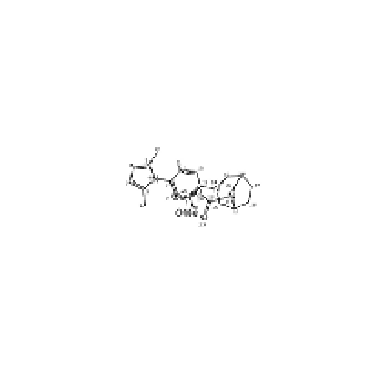 COc1cc(-n2c(C)ccc2C)ncc1N1CC2CCC(C1)N(C(=O)OC(C)(C)C)C2